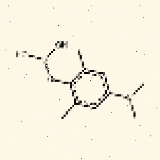 Cc1cc(N(C)C)cc(C)c1OB(O)O